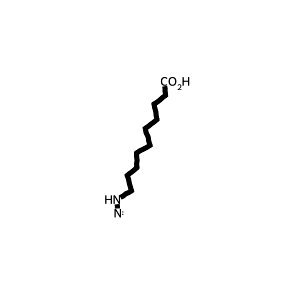 [N]NCCCCCCCCCC(=O)O